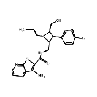 CCCN1C(CO)C(c2ccc(Br)cc2)C1CNC(=O)c1sc2ncccc2c1N